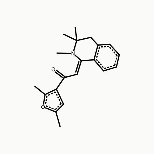 Cc1cc(C(=O)/C=C2/c3ccccc3CC(C)(C)N2C)c(C)o1